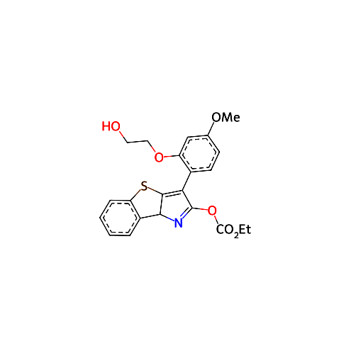 CCOC(=O)OC1=NC2C(=C1c1ccc(OC)cc1OCCO)Sc1ccccc12